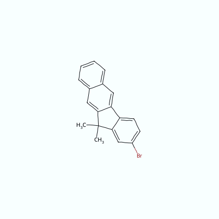 CC1(C)c2cc(Br)ccc2-c2cc3ccccc3cc21